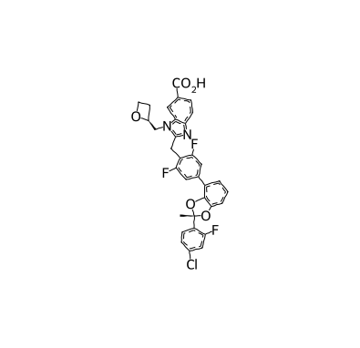 C[C@]1(c2ccc(Cl)cc2F)Oc2cccc(-c3cc(F)c(Cc4nc5ccc(C(=O)O)cc5n4C[C@@H]4CCO4)c(F)c3)c2O1